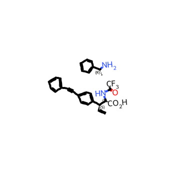 C=C[C@@H](c1ccc(C#Cc2ccccc2)cc1)[C@H](NC(=O)C(F)(F)F)C(=O)O.C[C@@H](N)c1ccccc1